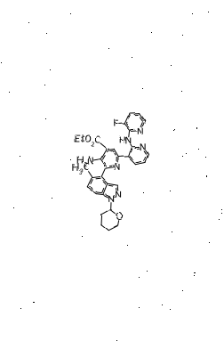 CCOC(=O)c1cc(-c2cccnc2Nc2ncccc2F)nc(-c2c(C)ccc3c2cnn3C2CCCCO2)c1N